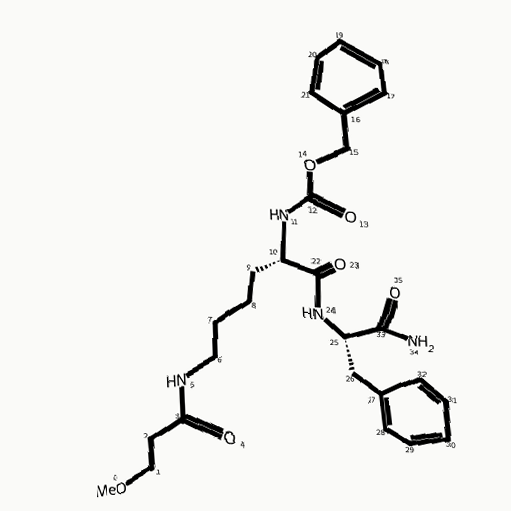 COCCC(=O)NCCCC[C@H](NC(=O)OCc1ccccc1)C(=O)N[C@@H](Cc1ccccc1)C(N)=O